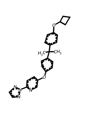 CC(C)(c1ccc(Oc2ccc(-n3nccn3)nc2)cc1)c1ccc(OC2CCC2)cc1